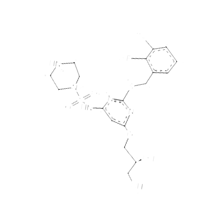 O=S(=O)(Nc1cc(OC[C@@H](O)CO)nc(SCc2cccc(F)c2F)n1)N1CCNCC1